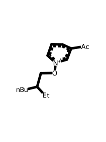 CCCCC(CC)CO[n+]1cccc(C(C)=O)c1